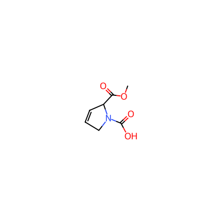 COC(=O)C1C=CCN1C(=O)O